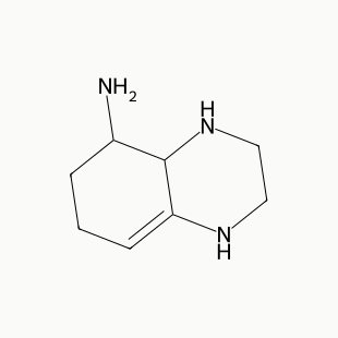 NC1CCC=C2NCCNC21